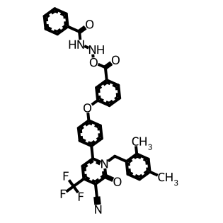 Cc1ccc(Cn2c(-c3ccc(Oc4cccc(C(=O)ONNC(=O)c5ccccc5)c4)cc3)cc(C(F)(F)F)c(C#N)c2=O)c(C)c1